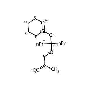 C=C(C)COC(CCC)(CCC)O[SiH]1CCCCO1